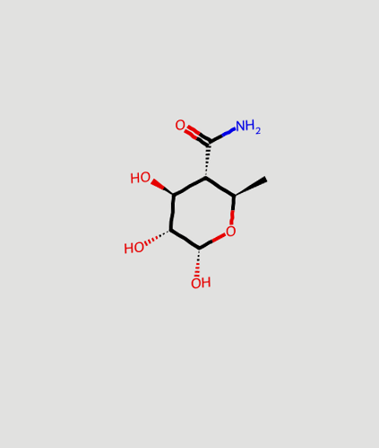 C[C@H]1O[C@H](O)[C@H](O)[C@@H](O)[C@@H]1C(N)=O